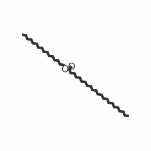 CCCCCCCCCCCCCCCCCCCCCCC(=O)OCCCCCCCCCCCCCCCC